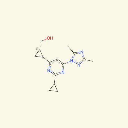 Cc1nc(C)n(-c2cc(C3C[C@@H]3CO)nc(C3CC3)n2)n1